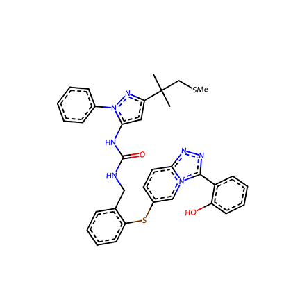 CSCC(C)(C)c1cc(NC(=O)NCc2ccccc2Sc2ccc3nnc(-c4ccccc4O)n3c2)n(-c2ccccc2)n1